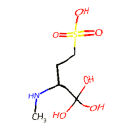 CNC(CCS(=O)(=O)O)C(O)(O)O